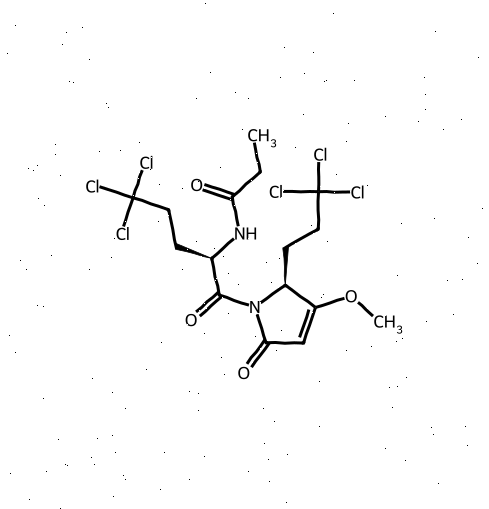 CCC(=O)N[C@H](CCC(Cl)(Cl)Cl)C(=O)N1C(=O)C=C(OC)[C@@H]1CCC(Cl)(Cl)Cl